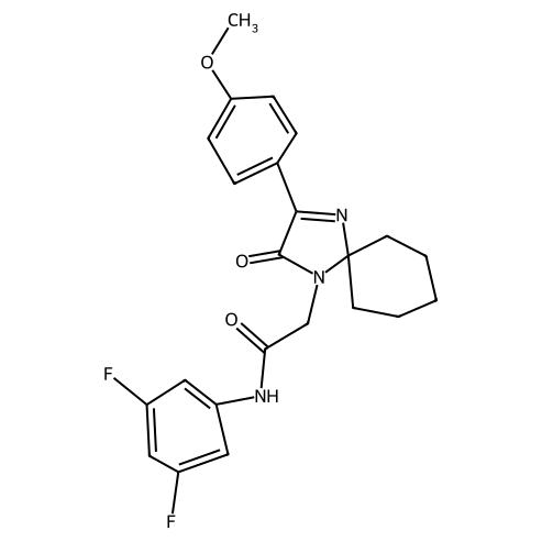 COc1ccc(C2=NC3(CCCCC3)N(CC(=O)Nc3cc(F)cc(F)c3)C2=O)cc1